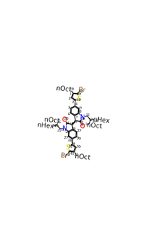 CCCCCCCCc1cc(-c2ccc3c(c2)N(CC(CCCCCC)CCCCCCCC)C(=O)C3=C2C(=O)N(CC(CCCCCC)CCCCCCCC)c3cc(-c4cc(CCCCCCCC)c(Br)s4)ccc32)sc1Br